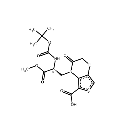 COC(=O)[C@H](CN1C(=O)COc2csc(C(=O)O)c21)NC(=O)OC(C)(C)C